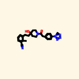 Cc1c(C#N)cccc1CCC1(O)CCN(C(=O)Cc2ccc(-n3cnnn3)cc2)CC1